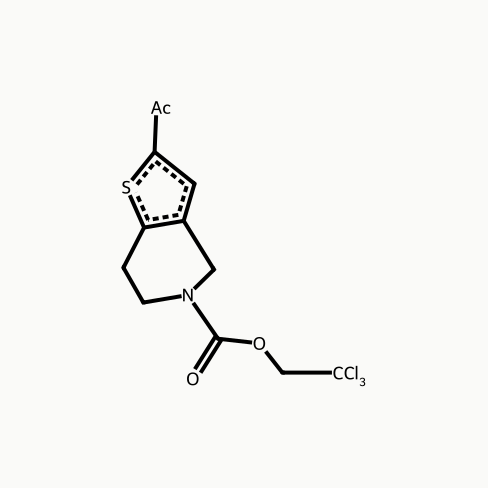 CC(=O)c1cc2c(s1)CCN(C(=O)OCC(Cl)(Cl)Cl)C2